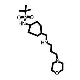 CC(C)(C)S(=O)(=O)NC1CCC(CNCCCN2CCOCC2)CC1